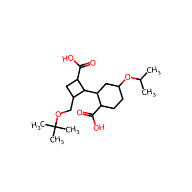 CC(C)OC1CCC(C(=O)O)C(C2C(COC(C)(C)C)CC2C(=O)O)C1